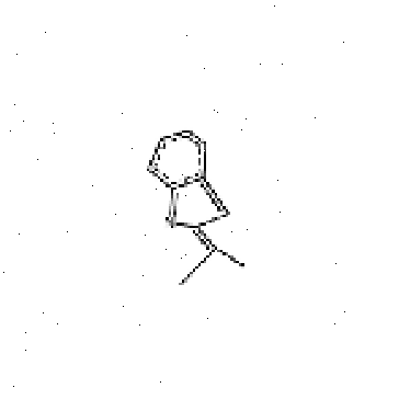 CC(C)=C1C=c2ccccc2=N1